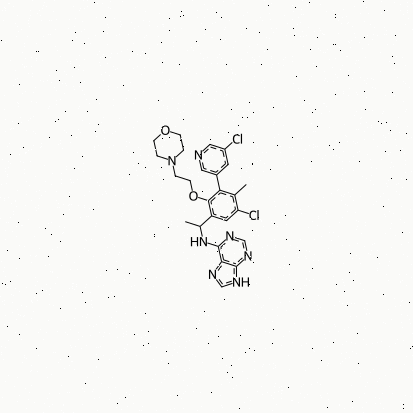 Cc1c(Cl)cc(C(C)Nc2ncnc3[nH]cnc23)c(OCCN2CCOCC2)c1-c1cncc(Cl)c1